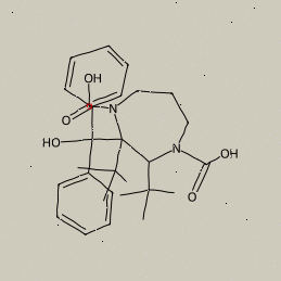 CC(C)(C)C1N(C(=O)O)CCCN(C(=O)O)C1(C(C)(C)C)C(O)(c1ccccc1)c1ccccc1